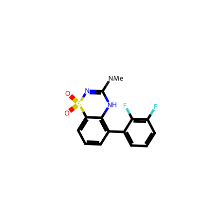 CNC1=NS(=O)(=O)c2cccc(-c3cccc(F)c3F)c2N1